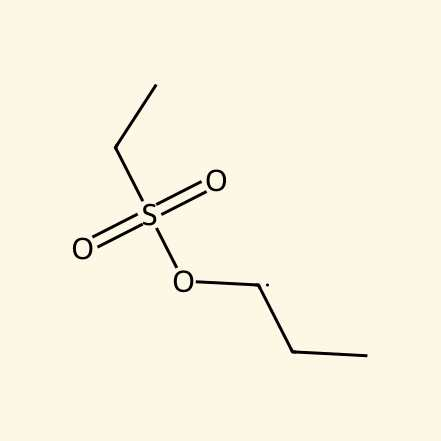 CC[CH]OS(=O)(=O)CC